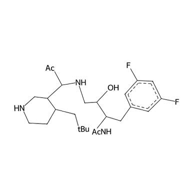 CC(=O)NC(Cc1cc(F)cc(F)c1)C(O)CNC(C(C)=O)C1CNCCC1CC(C)(C)C